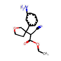 CCOC(=O)C(C#N)C1(c2cccc(N)c2)CCOC1